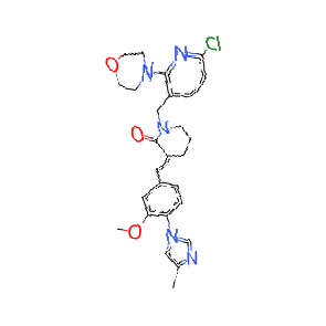 COc1cc(/C=C2\CCCN(Cc3ccc(Cl)nc3N3CCOCC3)C2=O)ccc1-n1cnc(C)c1